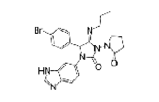 CCCN=C1C(c2ccc(Br)cc2)N(c2ccc3nc[nH]c3c2)C(=O)N1N1CCCC1=O